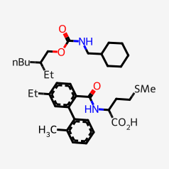 CCCCC(CC)COC(=O)NCC1CCCCC1.CCc1ccc(C(=O)NC(CCSC)C(=O)O)c(-c2ccccc2C)c1